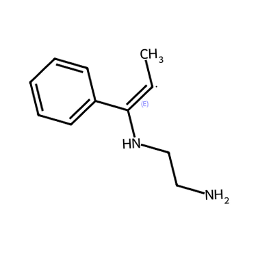 C/[C]=C(/NCCN)c1ccccc1